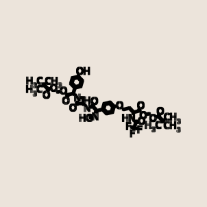 CC(C)(C)C(=O)OCOC(=O)C(CCOc1ccc(C(=NO)C(=O)NC2CN(C(C(=O)OCOC(=O)C(C)(C)C)c3ccc(O)cc3)C2=O)cc1)NC(=O)C(F)(F)F